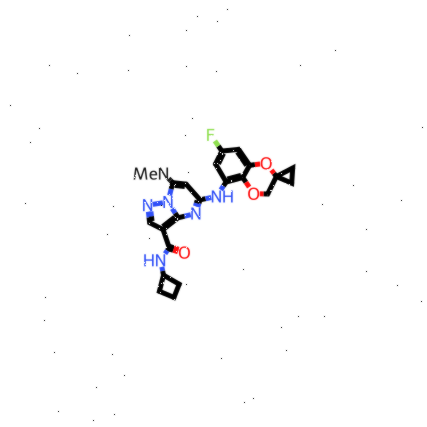 CNc1cc(Nc2cc(F)cc3c2OCC2(CC2)O3)nc2c(C(=O)NC3CCC3)cnn12